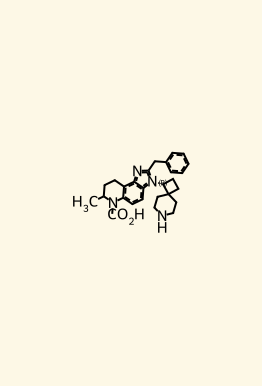 CC1CCc2c(ccc3c2nc(Cc2ccccc2)n3[C@@H]2CCC23CCNCC3)N1C(=O)O